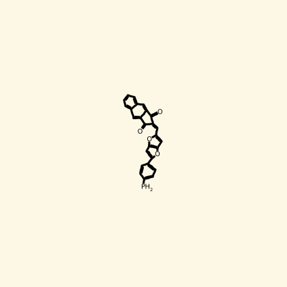 O=C1C(=Cc2cc3oc(-c4ccc(P)cc4)cc3o2)C(=O)c2cc3ccccc3cc21